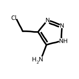 Nc1[nH]nnc1CCl